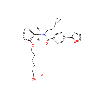 [2H]C([2H])(c1ccccc1OCCCCCC(=O)O)N(CCC1CC1)C(=O)c1ccc(-c2ccco2)cc1